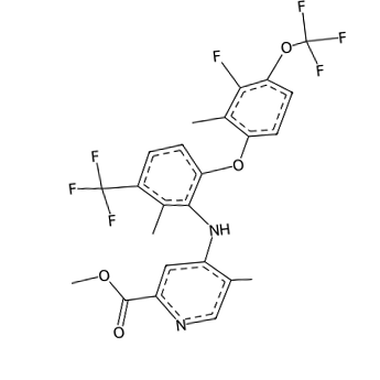 COC(=O)c1cc(Nc2c(Oc3ccc(OC(F)(F)F)c(F)c3C)ccc(C(F)(F)F)c2C)c(C)cn1